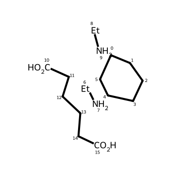 C1CCCCC1.CCN.CCN.O=C(O)CCCCC(=O)O